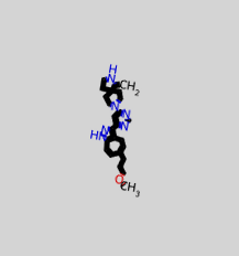 C=C1NCCC12CCN(c1cc(-c3n[nH]c4c3CC=C(CCCOC)C=C4)ncn1)CC2